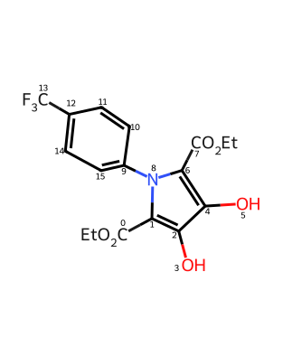 CCOC(=O)c1c(O)c(O)c(C(=O)OCC)n1-c1ccc(C(F)(F)F)cc1